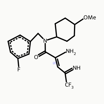 COC1CCC(N(Cc2cccc(F)c2)C(=O)/C(N)=C/C(=N)C(F)(F)F)CC1